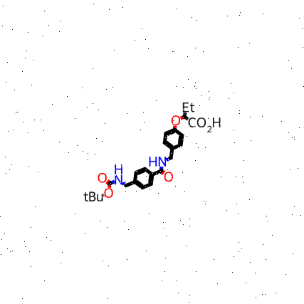 CCC(Oc1ccc(CNC(=O)c2ccc(CNC(=O)OC(C)(C)C)cc2)cc1)C(=O)O